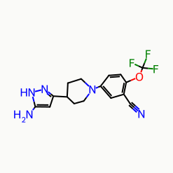 N#Cc1cc(N2CCC(c3cc(N)[nH]n3)CC2)ccc1OC(F)(F)F